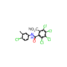 Cc1cc(NC(=O)c2c(Cl)c(Cl)c(Cl)c(Cl)c2C(=O)O)ccc1Cl